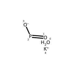 O.O=P[O-].[K+]